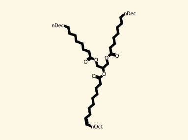 CCCCCCCC/C=C\CCCCCCCC(=O)OC(COC(=O)CCCCCCCCCCCCCCCCC)COC(=O)CCCCCCCCCCCCCCCCC